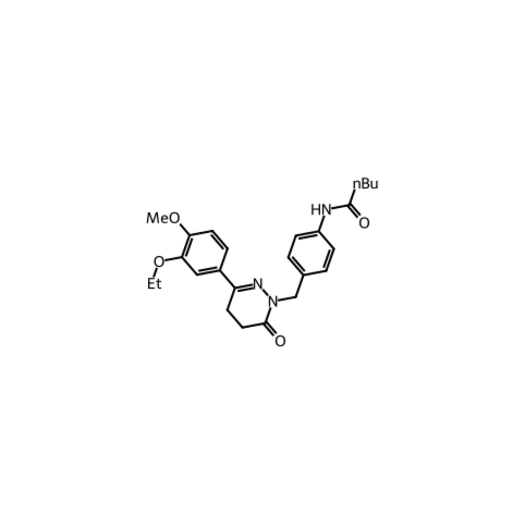 CCCCC(=O)Nc1ccc(CN2N=C(c3ccc(OC)c(OCC)c3)CCC2=O)cc1